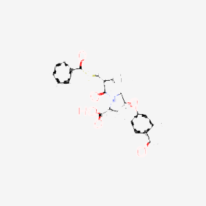 CC(CSC(=O)c1ccccc1)C(=O)N1CC(Oc2ccc(C=O)cc2)C[C@H]1C(=O)O